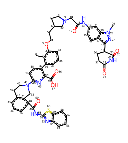 Cc1c(OCCC2CCN(CC(=O)Nc3ccc4c(C5CCC(=O)NC5=O)nn(C)c4c3)C2)cccc1-c1ccc(N2CCc3cccc(C(=O)Nc4nc5ccccc5s4)c3C2)nc1C(=O)O